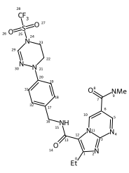 CCc1nc2ncc(C(=O)NC)cn2c1C(=O)NCc1ccc(N2CCN(S(=O)(=O)C(F)(F)F)C=N2)cc1